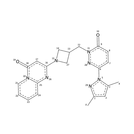 Cc1cc(C)n(-c2ccc(=O)n(CC3CN(c4cc(=O)n5ccccc5n4)C3)n2)n1